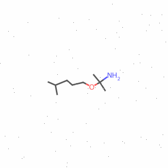 CC(C)CCCOC(C)(C)N